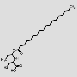 CCCCCCCCCCCCCCCCCC(=O)OC(CC)NC(CS)C(=O)O